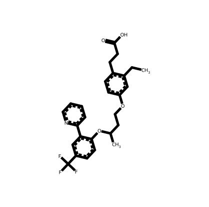 CCc1cc(OCCC(C)Oc2ccc(C(F)(F)F)cc2-c2ccccn2)ccc1CCC(=O)O